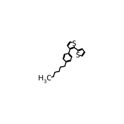 CCCCCCc1ccc(-c2ccsc2-c2cccs2)cc1